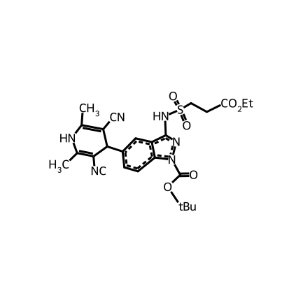 [C-]#[N+]C1=C(C)NC(C)=C(C#N)C1c1ccc2c(c1)c(NS(=O)(=O)CCC(=O)OCC)nn2C(=O)OC(C)(C)C